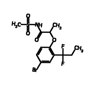 CCC(F)(F)c1cc(Br)ccc1OC(C)C(=O)NS(C)(=O)=O